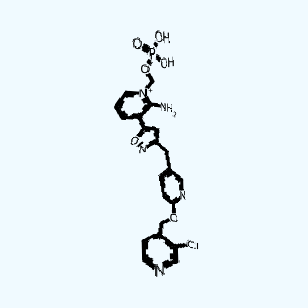 Nc1c(-c2cc(Cc3ccc(OCc4ccncc4Cl)nc3)no2)ccc[n+]1COP(=O)(O)O